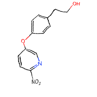 O=[N+]([O-])c1ccc(Oc2ccc(CCO)cc2)cn1